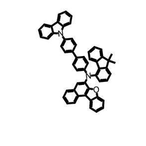 CC1(C)c2ccccc2-c2c(N(c3ccc(-c4ccc(-n5c6ccccc6c6ccccc65)cc4)cc3)c3cc4ccccc4c4c3oc3ccccc34)cccc21